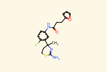 CC1(c2cc(NC(=O)CCc3ccco3)ccc2F)CCSC(N)=N1